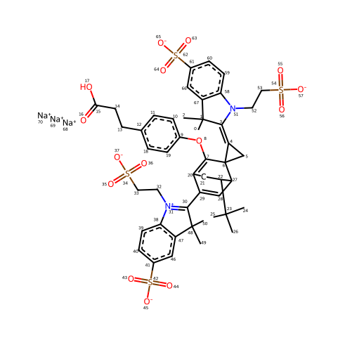 CC1(C)C(=C2CC23C(Oc2ccc(CCC(=O)O)cc2)=C2CC(C(C)(C)C)C3C=C2C2=[N+](CCS(=O)(=O)[O-])c3ccc(S(=O)(=O)[O-])cc3C2(C)C)N(CCS(=O)(=O)[O-])c2ccc(S(=O)(=O)[O-])cc21.[Na+].[Na+].[Na+]